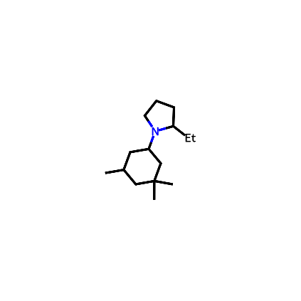 CCC1CCCN1C1CC(C)CC(C)(C)C1